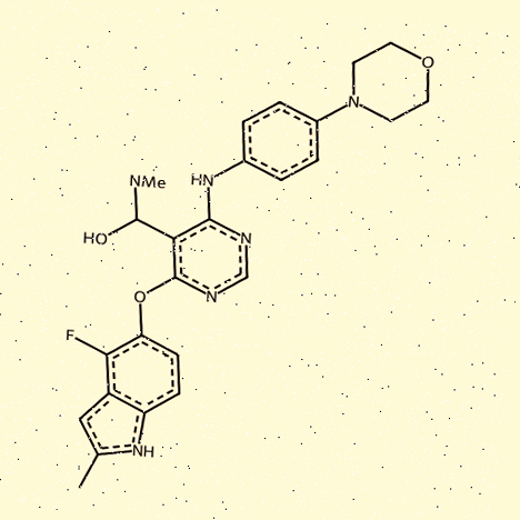 CNC(O)c1c(Nc2ccc(N3CCOCC3)cc2)ncnc1Oc1ccc2[nH]c(C)cc2c1F